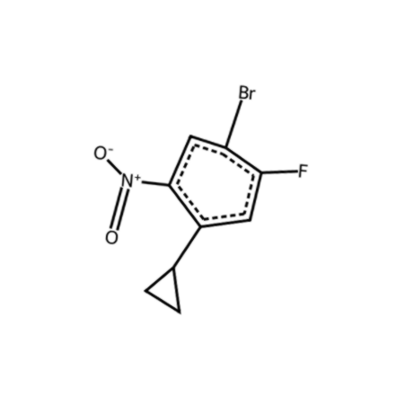 O=[N+]([O-])c1cc(Br)c(F)cc1C1CC1